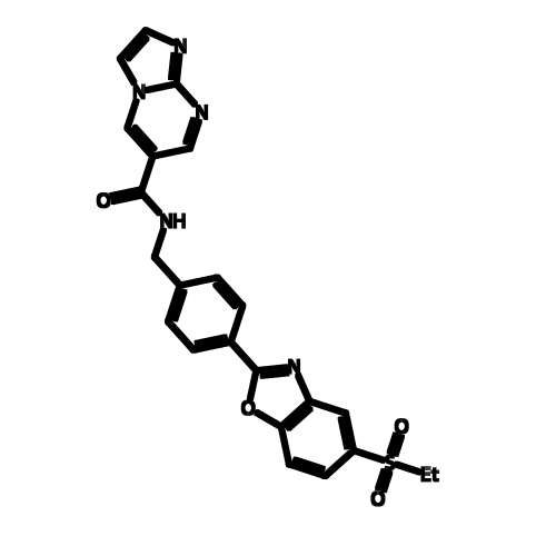 CCS(=O)(=O)c1ccc2oc(-c3ccc(CNC(=O)c4cnc5nccn5c4)cc3)nc2c1